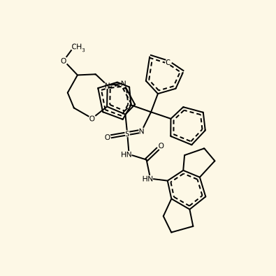 COC1CCOc2c(S(=O)(=NC(c3ccccc3)(c3ccccc3)c3ccccc3)NC(=O)Nc3c4c(cc5c3CCC5)CCC4)cnn2C1